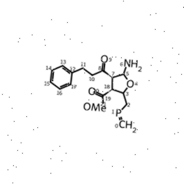 C=PCC1OC(N)[C@H](C(=O)CCc2ccccc2)[C@@H]1C(=O)OC